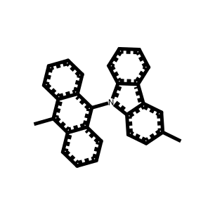 Cc1ccc2c(c1)c1ccccc1n2-c1c2ccccc2c(C)c2ccccc12